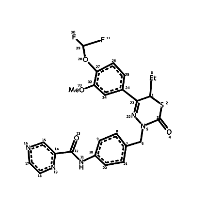 CCC1SC(=O)N(Cc2ccc(NC(=O)c3cnccn3)cc2)N=C1c1ccc(OC(F)F)c(OC)c1